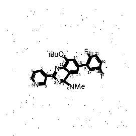 CNc1nc(-c2cccnc2)nc2c(OCC(C)C)cc(-c3cc(F)ccc3F)cc12